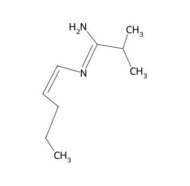 CCC/C=C\N=C(/N)C(C)C